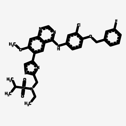 CCN(Cc1nc(-c2cc3c(Nc4ccc(OCc5cccc(F)c5)c(Cl)c4)ncnc3cc2OC)cs1)S(=O)(=O)C(C)C